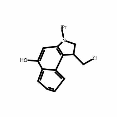 CC(C)N1CC(CCl)c2c1cc(O)c1ccccc21